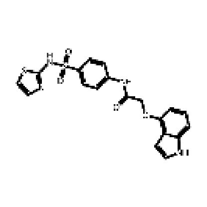 O=C(COc1cccc2[nH]ccc12)Nc1ccc(S(=O)(=O)Nc2nccs2)cc1